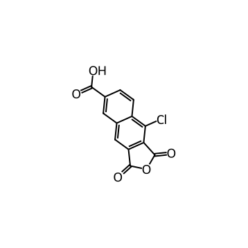 O=C(O)c1ccc2c(Cl)c3c(cc2c1)C(=O)OC3=O